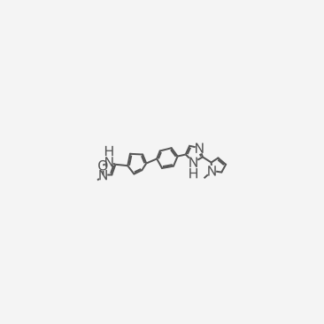 CN1C=C(c2ccc(-c3ccc(-c4cnc(C5C=CCN5C)[nH]4)cc3)cc2)NO1